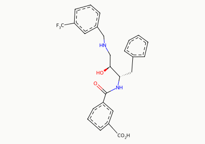 O=C(O)c1cccc(C(=O)N[C@@H](Cc2ccccc2)[C@@H](O)CNCc2cccc(C(F)(F)F)c2)c1